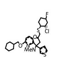 CNC(CC(=O)CSC1CCC(F)C[C@@H]1Cl)(c1ccsc1)c1cccc(OCC2CCCCC2)n1